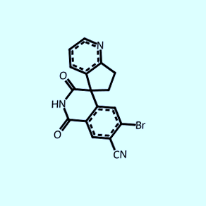 N#Cc1cc2c(cc1Br)C1(CCc3ncccc31)C(=O)NC2=O